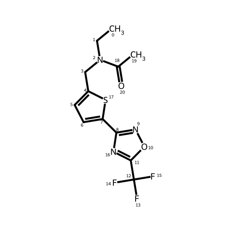 CCN(Cc1ccc(-c2noc(C(F)(F)F)n2)s1)C(C)=O